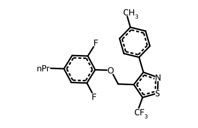 CCCc1cc(F)c(OCc2c(-c3ccc(C)cc3)nsc2C(F)(F)F)c(F)c1